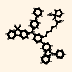 CCCCC1(OC(=O)OCCCCc2cc(N(c3ccc(-c4ccccc4)cc3)c3ccc4c(c3)C(C)(C)c3ccccc3-4)ccc2-c2ccc3c(c2)c2ccccc2n3-c2ccccc2)CCCC1